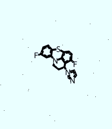 Fc1ccc2c(c1)N1CCC(n3ccnc3)c3c(F)ccc(c31)S2